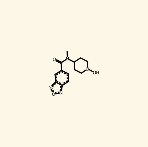 CN(C(=O)c1ccc2nonc2c1)C1CCB(O)CC1